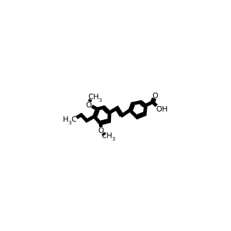 CCCc1c(OC)cc(C=Cc2ccc(C(=O)O)cc2)cc1OC